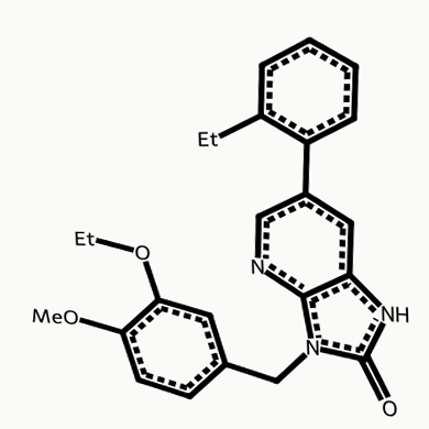 CCOc1cc(Cn2c(=O)[nH]c3cc(-c4ccccc4CC)cnc32)ccc1OC